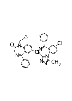 Cc1nnc2n1-c1ccc(Cl)cc1C(c1ccccc1)=NC2.O=C1CN=C(c2ccccc2)c2cc(Cl)ccc2N1CC1CC1